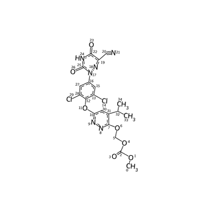 COC(=O)OCOc1nnc(Oc2c(Cl)cc(-n3nc(C#N)c(=O)[nH]c3=O)cc2Cl)cc1C(C)C